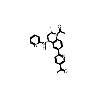 CC(=O)c1ccc(-c2ccc3c(c2)[C@H](Nc2ccccn2)C[C@H](C)N3C(C)=O)nc1